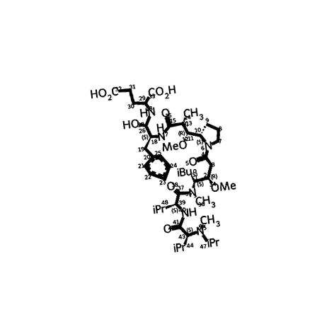 CC[C@H](C)[C@@H]([C@@H](CC(=O)N1CCC[C@H]1[C@H](OC)[C@@H](C)C(=O)N[C@@H](Cc1ccccc1)C(O)NC(CCC(=O)O)C(=O)O)OC)N(C)C(=O)[C@@H](NC(=O)[C@H](C(C)C)N(C)C(C)C)C(C)C